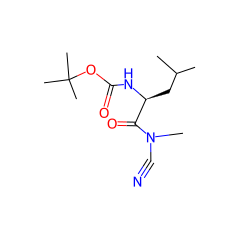 CC(C)C[C@H](NC(=O)OC(C)(C)C)C(=O)N(C)C#N